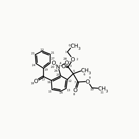 CCOC(=O)C(C)(C(=O)OCC)c1cccc(C(=O)c2ccccc2)c1[N+](=O)[O-]